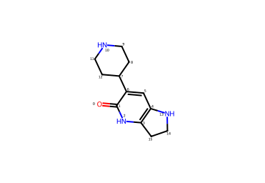 O=c1[nH]c2c(cc1C1CCNCC1)NCC2